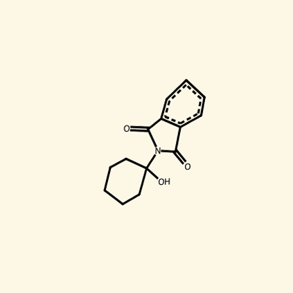 O=C1c2ccccc2C(=O)N1C1(O)CCCCC1